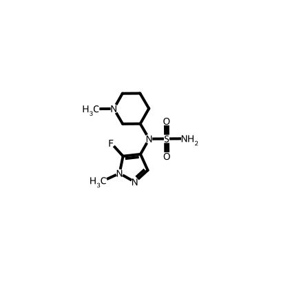 CN1CCCC(N(c2cnn(C)c2F)S(N)(=O)=O)C1